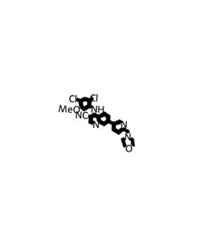 COc1cc(Nc2c(C#N)cnc3cc(-c4ccc(CN5CCOCC5)nc4)ccc23)c(Cl)cc1Cl